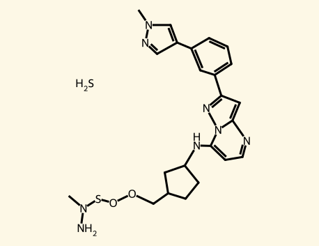 CN(N)SOOCC1CCC(Nc2ccnc3cc(-c4cccc(-c5cnn(C)c5)c4)nn23)C1.S